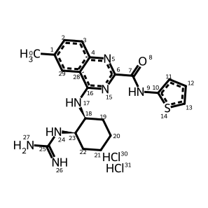 Cc1ccc2nc(C(=O)Nc3cccs3)nc(N[C@H]3CCCC[C@H]3NC(=N)N)c2c1.Cl.Cl